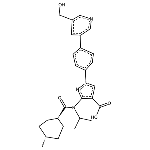 CC(C)N(c1nn(-c2ccc(-c3cncc(CO)c3)cc2)cc1C(=O)O)C(=O)[C@H]1CC[C@H](C)CC1